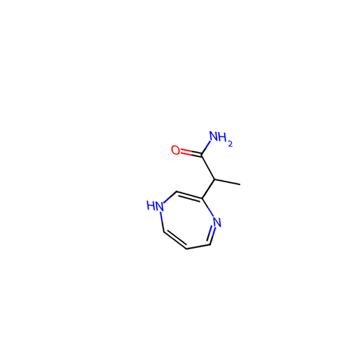 CC(C(N)=O)C1=CNC=CC=N1